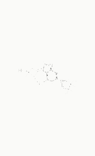 CC1(O)CC(n2cnc3cc(B4OC(C)(C)C(C)(C)O4)cc(C#N)c32)C1